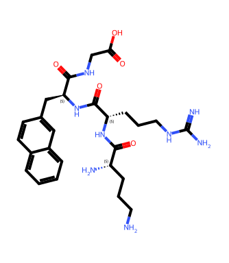 N=C(N)NCCC[C@H](NC(=O)[C@@H](N)CCCN)C(=O)N[C@@H](Cc1ccc2ccccc2c1)C(=O)NCC(=O)O